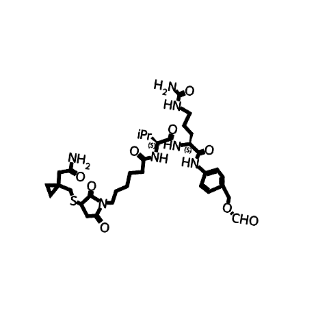 CC(C)[C@H](NC(=O)CCCCCN1C(=O)CC(SCC2(CC(N)=O)CC2)C1=O)C(=O)N[C@@H](CCCNC(N)=O)C(=O)Nc1ccc(COC=O)cc1